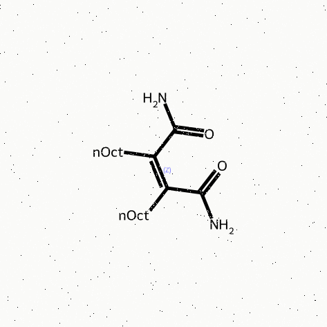 CCCCCCCC/C(C(N)=O)=C(\CCCCCCCC)C(N)=O